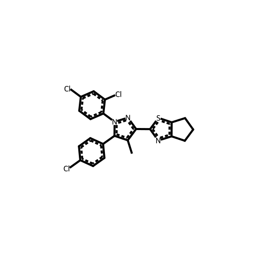 Cc1c(-c2nc3c(s2)CCC3)nn(-c2ccc(Cl)cc2Cl)c1-c1ccc(Cl)cc1